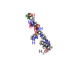 COc1ccc(CN2CCN(C3CC4(CCN(c5ccc(C(=O)NS(=O)(=O)c6ccc(NC[C@H]7CC[C@](O)(C(F)(F)F)CC7)c([N+](=O)[O-])c6)c(Oc6cnc7[nH]ccc7c6)c5)CC4)C3)[C@H](c3ccccc3C(C)C)C2)cc1